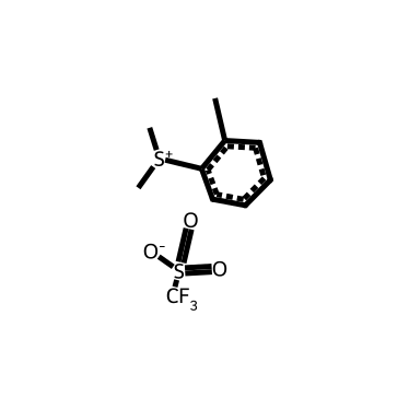 Cc1ccccc1[S+](C)C.O=S(=O)([O-])C(F)(F)F